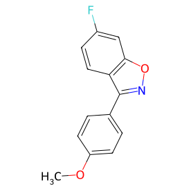 COc1ccc(-c2noc3cc(F)ccc23)cc1